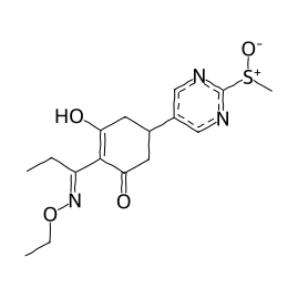 CCON=C(CC)C1=C(O)CC(c2cnc([S+](C)[O-])nc2)CC1=O